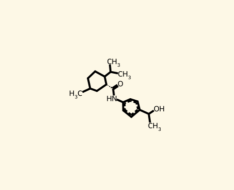 CC1CCC(C(C)C)[C@H](C(=O)Nc2ccc(C(C)O)cc2)C1